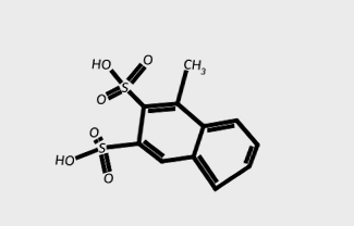 Cc1c(S(=O)(=O)O)c(S(=O)(=O)O)cc2ccccc12